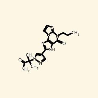 CCCn1c(=O)c2[nH]c(-c3cnn(C(C)(C)C(N)=O)c3)nc2n2ccnc12